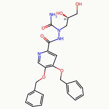 NC(=O)N(C[C@@H](O)CO)NC(=O)c1cc(OCc2ccccc2)c(OCc2ccccc2)cn1